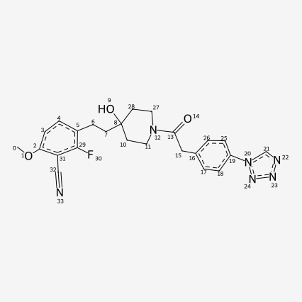 COc1ccc(CCC2(O)CCN(C(=O)Cc3ccc(-n4cnnn4)cc3)CC2)c(F)c1C#N